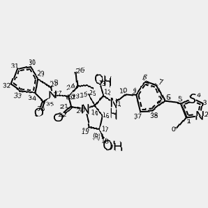 Cc1ncsc1-c1ccc(CNC(O)C2(C)C[C@@H](O)CN2C(=O)[C@H](C(C)C)N2Cc3ccccc3C2=O)cc1